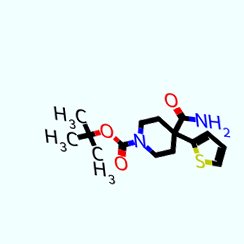 CC(C)(C)OC(=O)N1CCC(C(N)=O)(c2cccs2)CC1